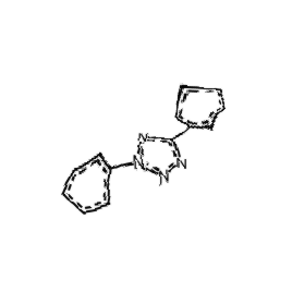 c1ccc(-c2nnn(-c3ccccc3)n2)cc1